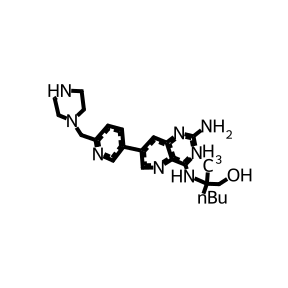 CCCCC(C)(CO)Nc1nc(N)nc2cc(-c3ccc(CN4CCNCC4)nc3)cnc12